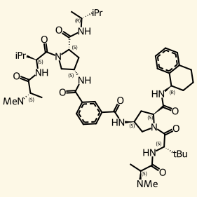 CN[C@@H](C)C(=O)N[C@H](C(=O)N1C[C@@H](NC(=O)c2cccc(C(=O)N[C@H]3C[C@@H](C(=O)N[C@@H]4CCCc5ccccc54)N(C(=O)[C@@H](NC(=O)[C@H](C)NC)C(C)(C)C)C3)c2)C[C@H]1C(=O)N[C@H](C)C(C)C)C(C)C